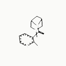 Cc1ncccc1C(=O)N1C2CC1CN(C(C)C)C2